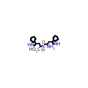 N[C@@H](Cc1c[nH]c2ccccc12)C(=O)N[C@@H](Cc1c[nH]c2ccccc12)C(=O)O